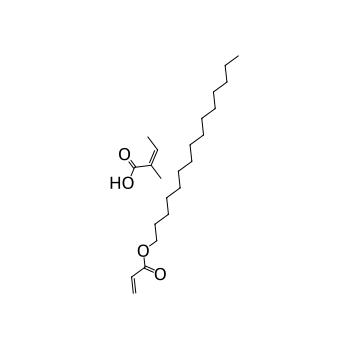 C=CC(=O)OCCCCCCCCCCCCCCC.CC=C(C)C(=O)O